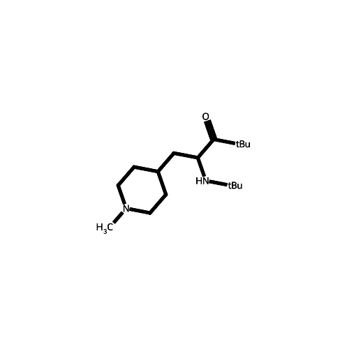 CN1CCC(CC(NC(C)(C)C)C(=O)C(C)(C)C)CC1